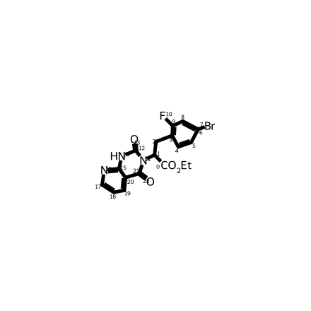 CCOC(=O)C(Cc1ccc(Br)cc1F)n1c(=O)[nH]c2ncccc2c1=O